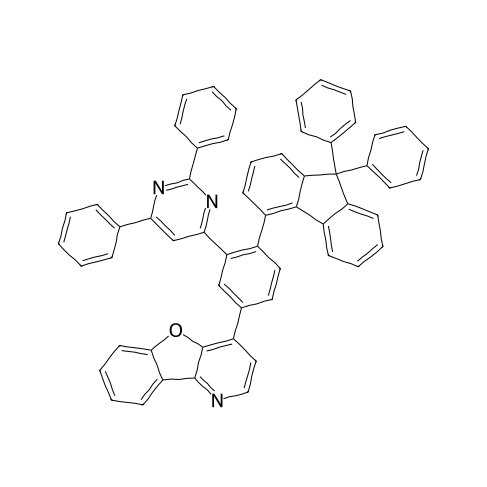 c1ccc(-c2cc(-c3cc(-c4ccnc5c4oc4ccccc45)ccc3-c3cccc4c3-c3ccccc3C4(c3ccccc3)c3ccccc3)nc(-c3ccccc3)n2)cc1